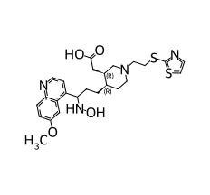 COc1ccc2nccc(C(CC[C@@H]3CCN(CCSc4nccs4)C[C@@H]3CC(=O)O)NO)c2c1